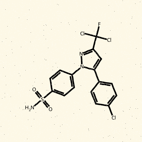 NS(=O)(=O)c1ccc(-n2nc(C(F)(Cl)Cl)cc2-c2ccc(Cl)cc2)cc1